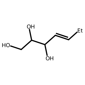 CCC=CC(O)C(O)CO